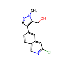 Cn1ncc(-c2ccc3cnc(Cl)cc3c2)c1CO